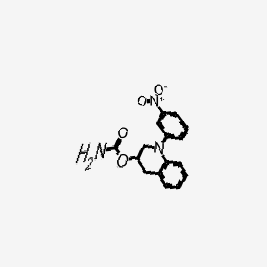 NC(=O)OC1Cc2ccccc2N(c2cccc([N+](=O)[O-])c2)C1